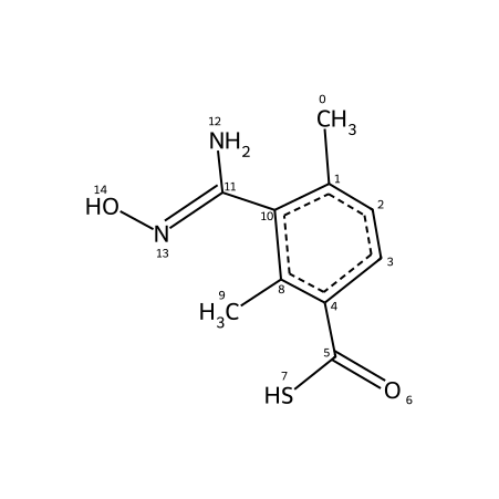 Cc1ccc(C(=O)S)c(C)c1C(N)=NO